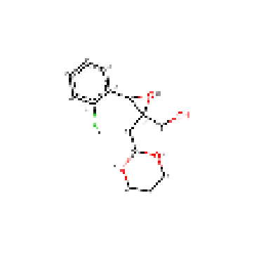 OCC1(CC2OCCCO2)OC1c1ccccc1Cl